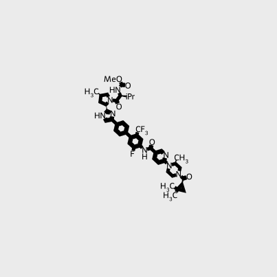 COC(=O)N[C@H](C(=O)N1C[C@@H](C)C[C@H]1c1nc(-c2ccc(-c3cc(F)c(NC(=O)c4ccc(N5CCN(C(=O)[C@H]6CC6(C)C)C[C@H]5C)nc4)cc3C(F)(F)F)cc2)c[nH]1)C(C)C